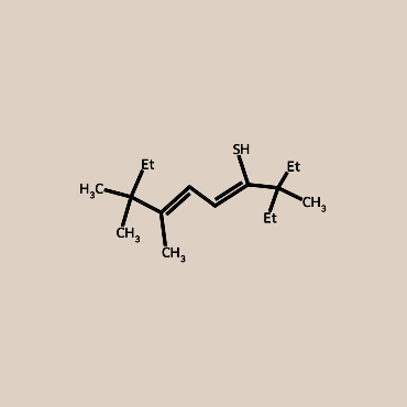 CCC(C)(CC)/C(S)=C/C=C(\C)C(C)(C)CC